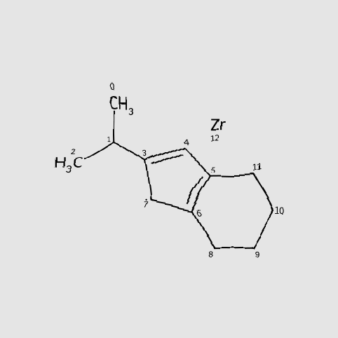 CC(C)C1=CC2=C([CH]1)CCCC2.[Zr]